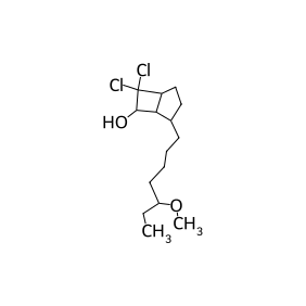 CCC(CCCCC1CCC2C1C(O)C2(Cl)Cl)OC